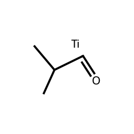 CC(C)C=O.[Ti]